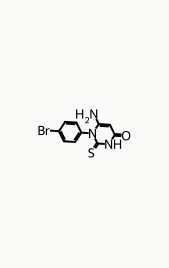 Nc1cc(=O)[nH]c(=S)n1-c1ccc(Br)cc1